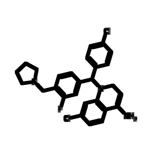 NC1=CCN(C(c2ccc(Cl)cc2)c2ccc(CN3CCCC3)c(F)c2)c2cc(Cl)ccc21